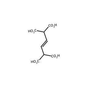 O=C(O)C(C=CC(C(=O)O)C(=O)O)C(=O)O